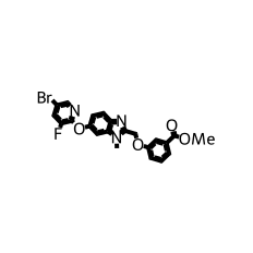 COC(=O)c1cccc(OCc2nc3ccc(Oc4ncc(Br)cc4F)cc3n2C)c1